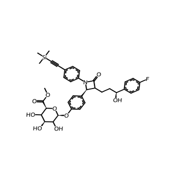 COC(=O)[C@H]1O[C@@H](Oc2ccc([C@@H]3C(CC[C@H](O)c4ccc(F)cc4)C(=O)N3c3ccc(C#C[Si](C)(C)C)cc3)cc2)C(O)[C@@H](O)C1O